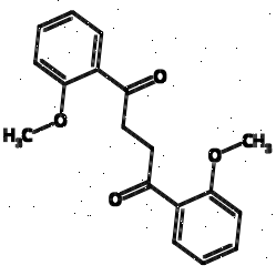 COc1ccccc1C(=O)CCC(=O)c1ccccc1OC